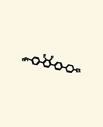 CCCc1ccc(-c2ccc(-c3ccc(C4C=CC(CC)CC4)cc3)c(F)c2F)cc1